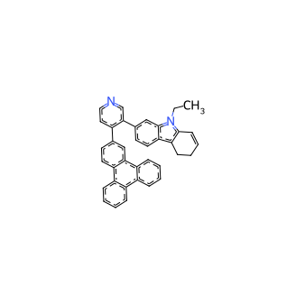 CCn1c2c(c3ccc(-c4cnccc4-c4ccc5c6ccccc6c6ccccc6c5c4)cc31)CCC=C2